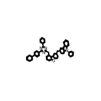 c1ccc(-c2ccc(-c3nc(Cc4cccc5oc6ccc(Cc7ccc8c(c7)c7ccccc7n8-c7ccccc7)cc6c45)nc(-c4ccccc4)n3)cc2)cc1